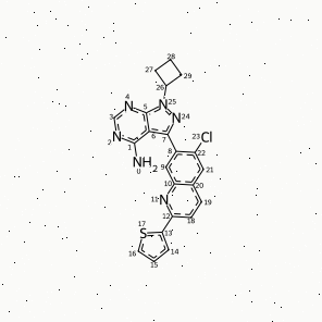 Nc1ncnc2c1c(-c1cc3nc(-c4cccs4)ccc3cc1Cl)nn2C1CCC1